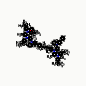 Cc1cc2c3c(c1)N(c1ccc(C(C)(C)C)cc1C)c1ccc(C(C)(C)C)cc1B3c1ccc(N3c4ccc(-c5ccccc5)cc4C4(C)CCCCC34C)cc1N2c1ccc(C(C)(C)CCC(C)(C)c2ccc(-c3ccc4c(c3)C3(C)CCCCC3(C)N4c3ccc4c(c3)N(c3ccc(C(C)(C)C)cc3)c3cc(C)cc5c3B4c3cc(C(C)(C)C)ccc3N5c3ccc(C(C)(C)C)cc3-c3ccccc3)cc2)cc1